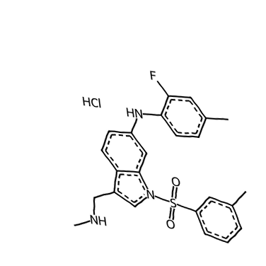 CNCc1cn(S(=O)(=O)c2cccc(C)c2)c2cc(Nc3ccc(C)cc3F)ccc12.Cl